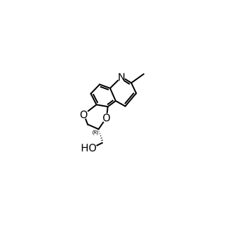 Cc1ccc2c3c(ccc2n1)OC[C@@H](CO)O3